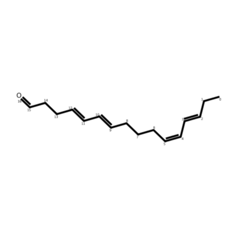 CCC=C/C=C\CCC/C=C/C=C/CCC=O